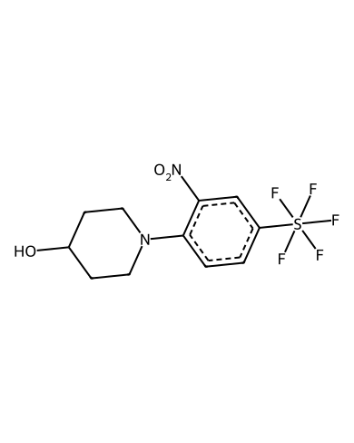 O=[N+]([O-])c1cc(S(F)(F)(F)(F)F)ccc1N1CCC(O)CC1